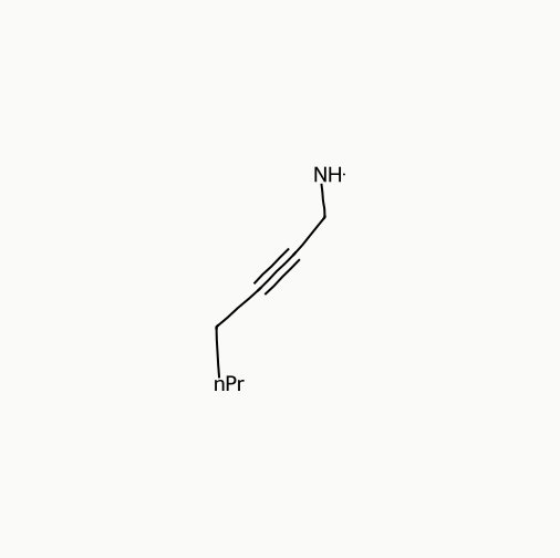 CCCCC#CC[NH]